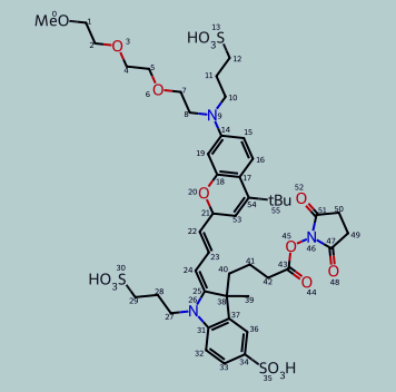 COCCOCCOCCN(CCCS(=O)(=O)O)c1ccc2c(c1)OC(/C=C/C=C1/N(CCCS(=O)(=O)O)c3ccc(S(=O)(=O)O)cc3C1(C)CCCC(=O)ON1C(=O)CCC1=O)C=C2C(C)(C)C